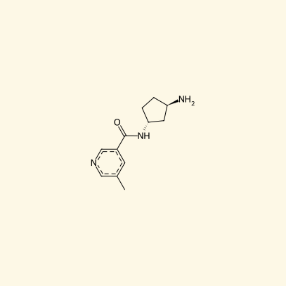 Cc1cncc(C(=O)N[C@@H]2CC[C@@H](N)C2)c1